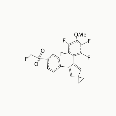 COc1c(F)c(F)c(C2=CC3(C=C2c2ccc(S(=O)(=O)CF)cc2)CC3)c(F)c1F